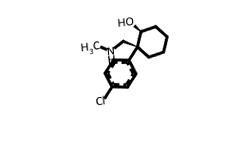 CNC[C@]1(c2ccc(Cl)cc2)CCCC[C@@H]1O